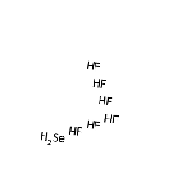 F.F.F.F.F.F.[SeH2]